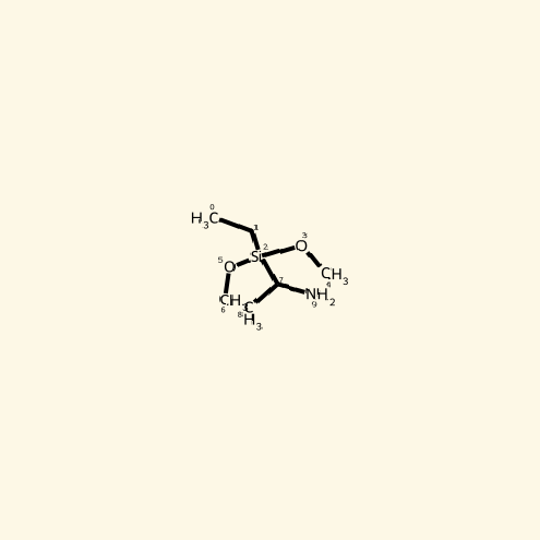 CC[Si](OC)(OC)C(C)N